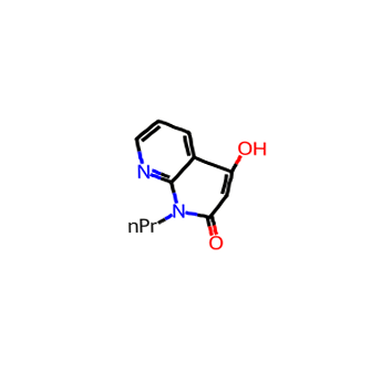 CCCn1c(=O)cc(O)c2cccnc21